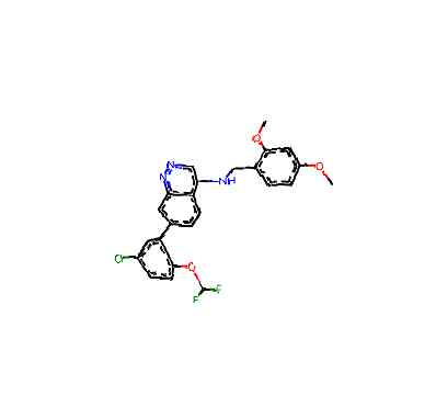 COc1ccc(CNc2cnnc3cc(-c4cc(Cl)ccc4OC(F)F)ccc23)c(OC)c1